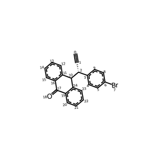 C#C[C@H](c1ccc(Br)cc1)C1c2ccccc2C(=O)c2ccccc21